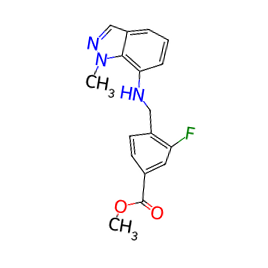 COC(=O)c1ccc(CNc2cccc3cnn(C)c23)c(F)c1